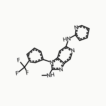 CNc1nc2cnc(Nc3ccccn3)cc2n1-c1cccc(C(F)(F)F)c1